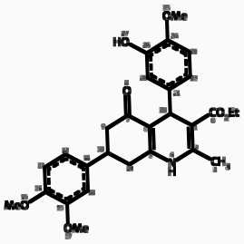 CCOC(=O)C1=C(C)NC2=C(C(=O)CC(c3ccc(OC)c(OC)c3)C2)C1c1ccc(OC)c(O)c1